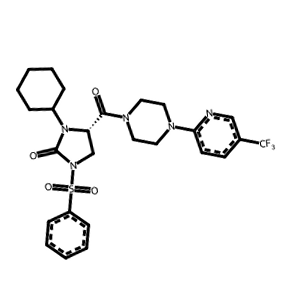 O=C([C@@H]1CN(S(=O)(=O)c2ccccc2)C(=O)N1C1CCCCC1)N1CCN(c2ccc(C(F)(F)F)cn2)CC1